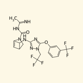 CC(=N)NC(=O)N1CC2C=C1C2Nc1nc(Oc2cccc(C(F)(F)F)c2)n(CC(F)(F)F)n1